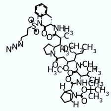 CC[C@H](C)[C@@H]([C@H](CC(=O)N1CCC[C@H]1[C@H](OC)[C@@H](C)C(=O)N[C@@H](Cc1ccccc1)C(=O)NS(=O)(=O)CCCN=[N+]=[N-])OC)N(C)C(=O)[C@@H](NC(=O)[C@@H]1[C@H]2CC[C@H](C2)N1C(=O)OC(C)(C)C)C(C)C